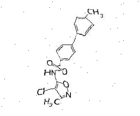 Cc1ccc(-c2ccc(S(=O)(=O)Nc3onc(C)c3Cl)cc2)cc1